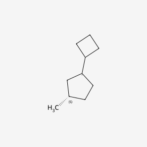 C[C@H]1CC[C](C2CCC2)C1